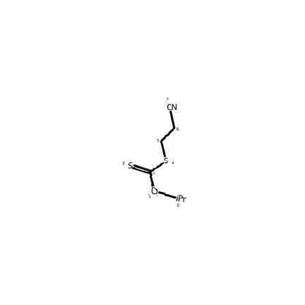 CC(C)OC(=S)SCCC#N